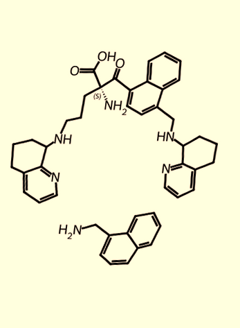 NCc1cccc2ccccc12.N[C@](CCCNC1CCCc2cccnc21)(C(=O)O)C(=O)c1ccc(CNC2CCCc3cccnc32)c2ccccc12